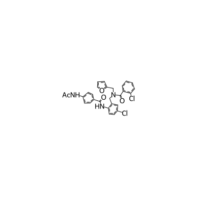 CC(=O)Nc1ccc(C(=O)Nc2ccc(Cl)cc2CN(Cc2ccco2)C(=O)c2ccccc2Cl)cc1